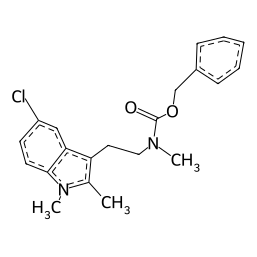 Cc1c(CCN(C)C(=O)OCc2ccccc2)c2cc(Cl)ccc2n1C